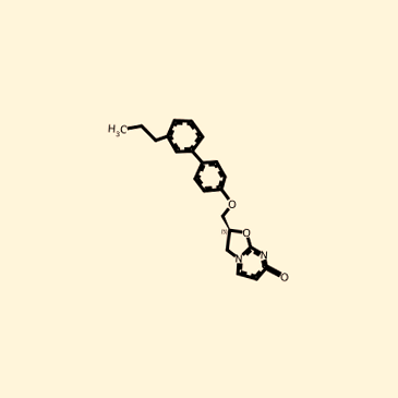 CCCc1cccc(-c2ccc(OC[C@@H]3Cn4ccc(=O)nc4O3)cc2)c1